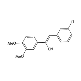 COc1ccc(C(C#N)=Cc2cccc(Cl)c2)cc1OC